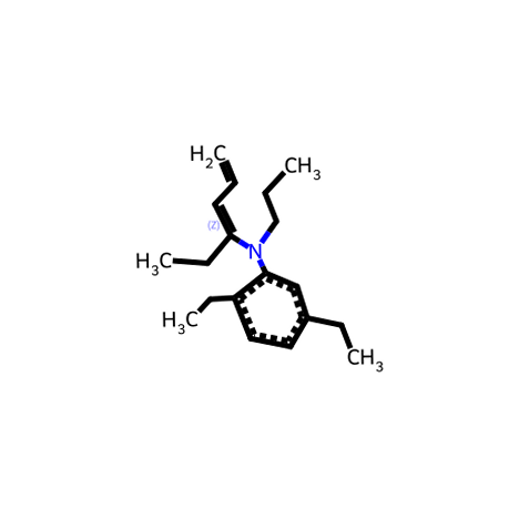 C=C/C=C(/CC)N(CCC)c1cc(CC)ccc1CC